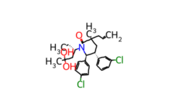 C=CC[C@@]1(C)C[C@H](c2cccc(Cl)c2)[C@@H](c2ccc(Cl)cc2)N([C@@H](CC)CC(C)(O)O)C1=O